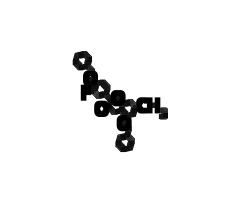 Cc1cc(OCc2ccccc2)c2c(c1)OC(c1ccc(OCc3ccccc3)c(F)c1)C(=O)C2